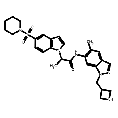 Cc1cc2cnn(CC3CNC3)c2cc1NC(=O)C(C)n1ccc2cc(S(=O)(=O)N3CCCCC3)ccc21